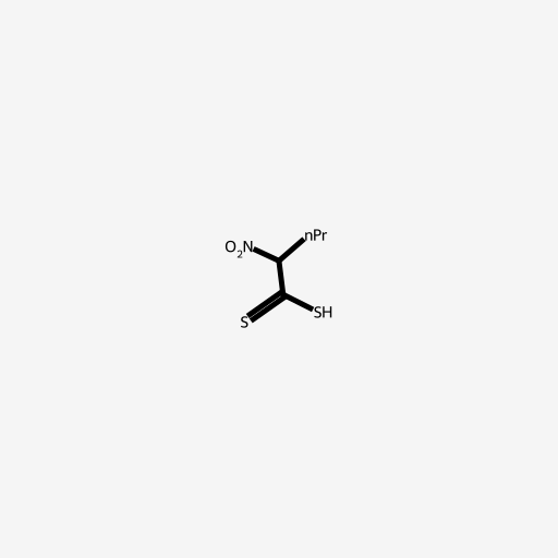 CCCC(C(=S)S)[N+](=O)[O-]